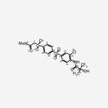 CNC(=O)CS(=O)(=O)c1ccc(S(=O)(=O)c2ccc(NC(=O)[C@@](C)(O)C(F)(F)F)c(Cl)c2)cc1